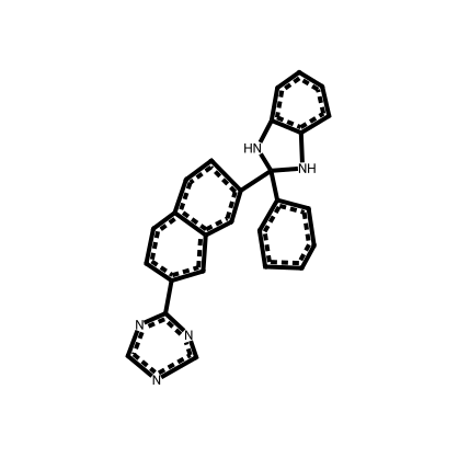 c1ccc(C2(c3ccc4ccc(-c5ncncn5)cc4c3)Nc3ccccc3N2)cc1